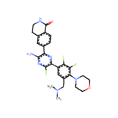 CN(C)Cc1cc(-c2nc(-c3ccc4c(c3)CCNC4=O)c(N)nc2F)c(F)c(F)c1N1CCOCC1